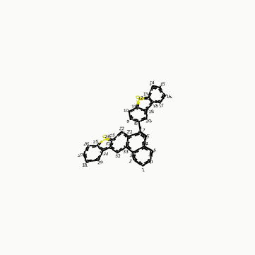 c1ccc2c(c1)cc(-c1ccc3sc4ccccc4c3c1)c1cc3sc4ccccc4c3cc12